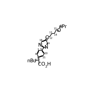 CCCCC(C(=O)O)c1ccc(-c2ncc(OCCCCOCCC)cn2)cc1